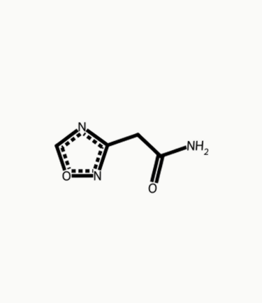 NC(=O)Cc1ncon1